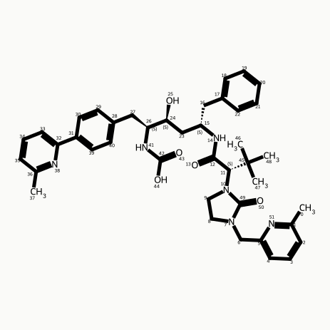 Cc1cccc(CN2CCN([C@H](C(=O)N[C@@H](Cc3ccccc3)C[C@H](O)[C@H](Cc3ccc(-c4cccc(C)n4)cc3)NC(=O)O)C(C)(C)C)C2=O)n1